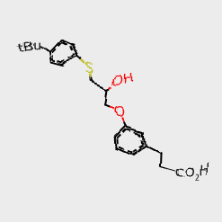 CC(C)(C)c1ccc(SCC(O)COc2cccc(CCC(=O)O)c2)cc1